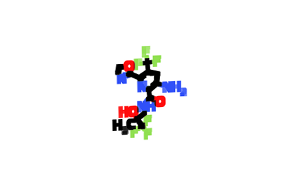 CC(O)(CNC(=O)c1nc(-c2ncco2)c(C(F)(F)F)cc1N)C(F)(F)F